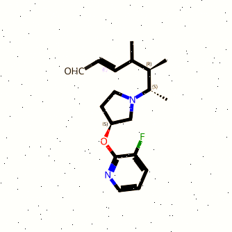 CC(/C=C/C=O)[C@@H](C)[C@H](C)N1CC[C@H](Oc2ncccc2F)C1